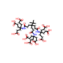 CC(C)(C)C(CCC(=O)NC(CCC(=O)O)(CCC(=O)O)CCC(=O)O)(CCC(=O)NC(CCC(=O)O)(CCC(=O)O)CCC(=O)O)CCC(=O)NC(CCC(=O)O)(CCC(=O)O)CCC(=O)O